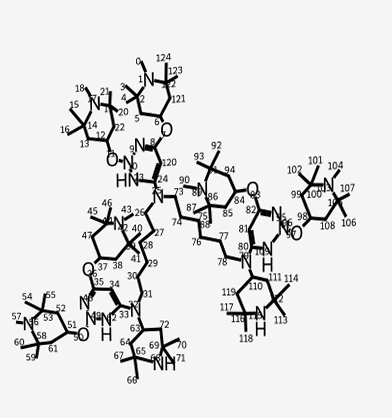 CN1C(C)(C)CC(OC2=NN(OC3CC(C)(C)N(C)C(C)(C)C3)NC(N(CCCCCCN(C3=CC(OC4CC(C)(C)N(C)C(C)(C)C4)=NN(OC4CC(C)(C)N(C)C(C)(C)C4)N3)C3CC(C)(C)NC(C)(C)C3)CCCCCCN(C3=CC(OC4CC(C)(C)N(C)C(C)(C)C4)=NN(OC4CC(C)(C)N(C)C(C)(C)C4)N3)C3CC(C)(C)NC(C)(C)C3)=C2)CC1(C)C